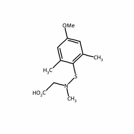 COc1cc(C)c(SN(C)CC(=O)O)c(C)c1